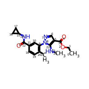 CCOC(=O)c1cnn(-c2cc(C(=O)NC3CC3)ccc2C)c1NC